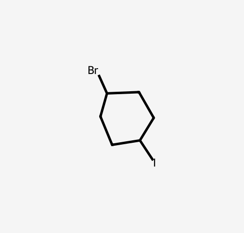 BrC1CCC(I)CC1